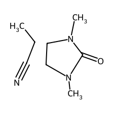 CCC#N.CN1CCN(C)C1=O